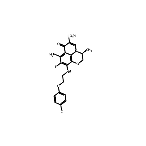 C[C@H]1COc2c(NCCOc3ccc(Cl)cc3)c(F)c(N)c3c(=O)c(C(=O)O)cn1c23